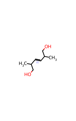 CC(/C=C/C(C)CO)CO